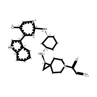 C=CC(=O)N1CCC2(CC1)C[C@H]2N[C@H]1CCC[C@@H](Nc2ncc(Cl)c(-c3c[nH]c4ccccc34)n2)C1